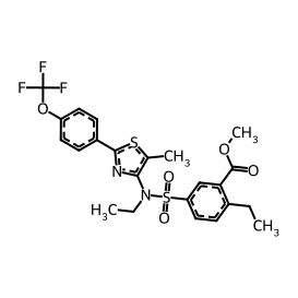 CCc1ccc(S(=O)(=O)N(CC)c2nc(-c3ccc(OC(F)(F)F)cc3)sc2C)cc1C(=O)OC